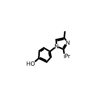 Cc1cn(-c2ccc(O)cc2)c(C(C)C)n1